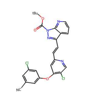 CC(C)(C)OC(=O)n1nc(C=Cc2cc(Oc3cc(Cl)cc(C#N)c3)c(Cl)cn2)c2cccnc21